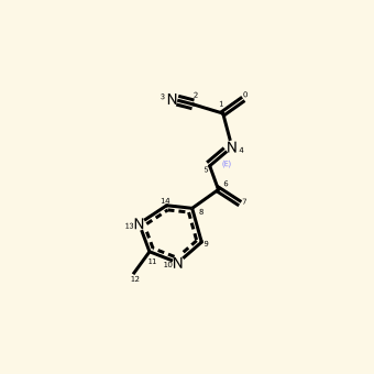 C=C(C#N)/N=C/C(=C)c1cnc(C)nc1